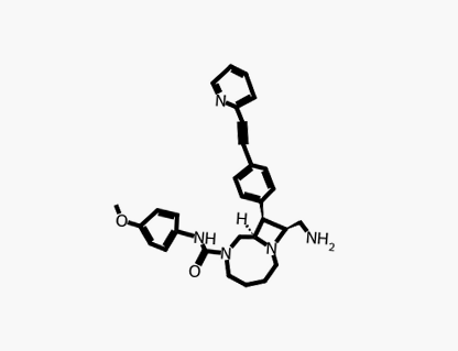 COc1ccc(NC(=O)N2CCCCN3[C@H](CN)[C@H](c4ccc(C#Cc5ccccn5)cc4)[C@@H]3C2)cc1